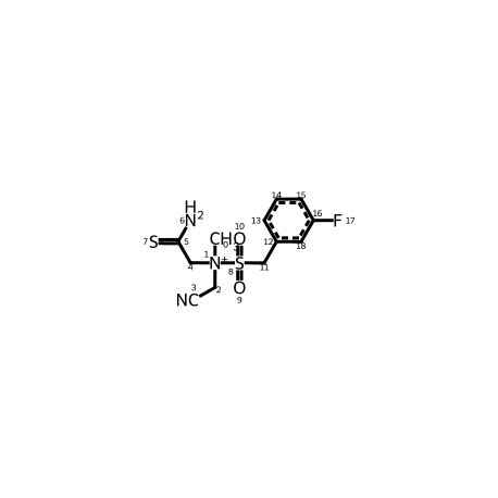 C[N+](CC#N)(CC(N)=S)S(=O)(=O)Cc1cccc(F)c1